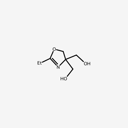 CCC1=NC(CO)(CO)CO1